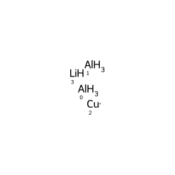 [AlH3].[AlH3].[Cu].[LiH]